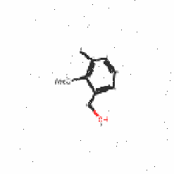 COc1c(C)cccc1[CH]O